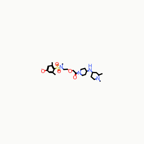 COc1cc(C)c(S(=O)(=O)N(C)CCOCC(=O)N2CCC(NC3CCN(C)C(C)C3)CC2)c(C)c1